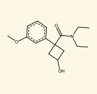 CCN(CC)C(=O)C1(c2cccc(OC)c2)CC(O)C1